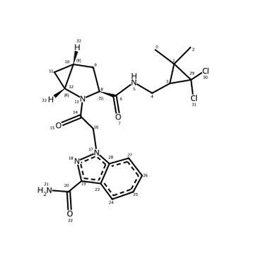 CC1(C)C(CNC(=O)[C@@H]2C[C@H]3C[C@H]3N2C(=O)Cn2nc(C(N)=O)c3ccccc32)C1(Cl)Cl